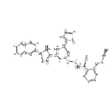 N#CCSc1ccccc1C(=O)NCCCC[C@H](NC(=O)c1cncs1)c1ncc(-c2ccc3ccccc3c2)[nH]1